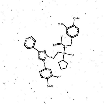 COc1ccc(-c2nc(-c3ccncc3)nn2CC[N+](C(C)=O)(C2CCCC2)[C@H](Cc2ccc(OC)c(OC)c2)C(N)=O)cc1Cl